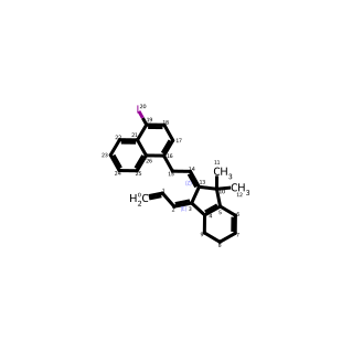 C=C/C=C1/C2=C(C=CCC2)C(C)(C)/C1=C/Cc1ccc(I)c2ccccc12